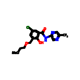 COCCOCc1cc(Cl)cc(C(=O)Nc2cnc(C(F)(F)F)cn2)c1O